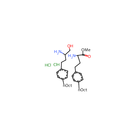 CCCCCCCCc1ccc(CCC(N)C(=O)OC)cc1.CCCCCCCCc1ccc(CCC(N)CO)cc1.Cl.Cl